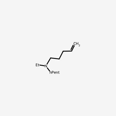 C=CCCCN(CC)CCCCC